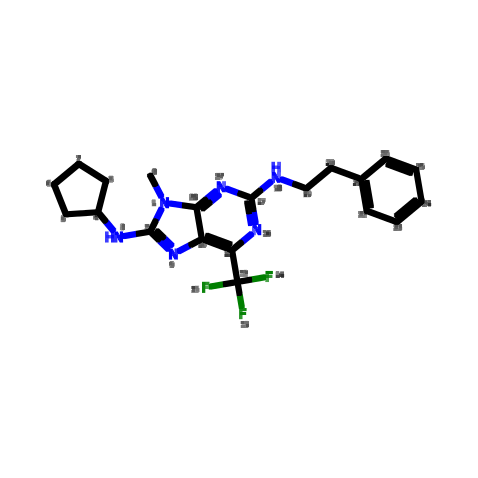 Cn1c(NC2CCCC2)nc2c(C(F)(F)F)nc(NCCc3ccccc3)nc21